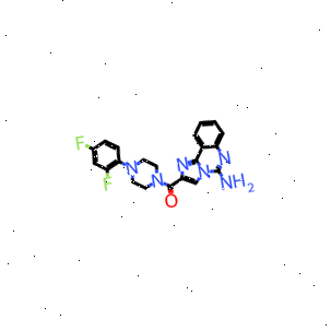 Nc1nc2ccccc2c2nc(C(=O)N3CCN(c4ccc(F)cc4F)CC3)cn12